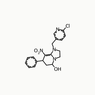 O=[N+]([O-])C1=C2N(Cc3ccc(Cl)nc3)CCN2C(O)CC1c1ccccc1